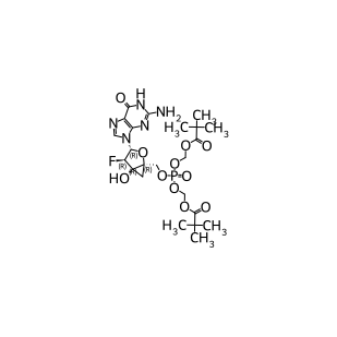 CC(C)(C)C(=O)OCOP(=O)(OCOC(=O)C(C)(C)C)OC[C@]12C[C@]1(O)[C@@H](F)[C@H](n1cnc3c(=O)[nH]c(N)nc31)O2